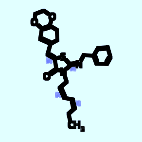 CC/C=C\C=C/CN1C(=O)/C(=C/C2=CC3=C(CC2)OCCO3)S/C1=N\Cc1ccccc1